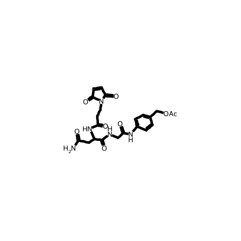 CC(=O)OCc1ccc(NC(=O)CNC(=O)C(CC(N)=O)NC(=O)CCN2C(=O)C=CC2=O)cc1